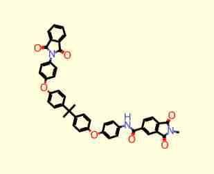 CN1C(=O)c2ccc(C(=O)Nc3ccc(Oc4ccc(C(C)(C)c5ccc(Oc6ccc(N7C(=O)c8ccccc8C7=O)cc6)cc5)cc4)cc3)cc2C1=O